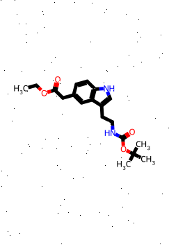 CCOC(=O)Cc1ccc2[nH]cc(CCNC(=O)OC(C)(C)C)c2c1